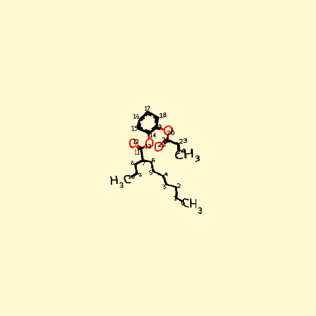 CCCCCCCC(CCC)C(=O)Oc1ccccc1OC(=O)CC